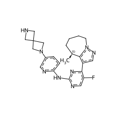 C[C@H]1CCCCn2ncc(-c3nc(Nc4ccc(N5CC6(CNC6)C5)cn4)ncc3F)c21